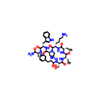 CC(C)C[C@H](NC(=O)[C@H](CO)NC(=O)[C@@H](N)Cc1ccccc1)C(=O)N[C@@H](CC(C)C)C(=O)N[C@@H](CCCCN)C(=O)N1CCC[C@H]1C(=O)N[C@@H](Cc1c[nH]c2ccccc12)C(=O)N[C@@H](C)C(N)=O